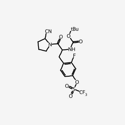 CC(C)(C)OC(=O)NC(Cc1ccc(OS(=O)(=O)C(F)(F)F)cc1F)C(=O)N1CCCC1C#N